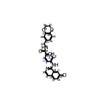 C=C(/C=C\C(=C/C)Nc1nccc2ccc(Cl)cc12)C(=O)NCc1ccc2c(c1)OCCO2